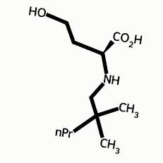 CCCC(C)(C)CN[C@@H](CCO)C(=O)O